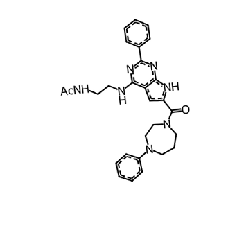 CC(=O)NCCNc1nc(-c2ccccc2)nc2[nH]c(C(=O)N3CCCN(c4ccccc4)CC3)cc12